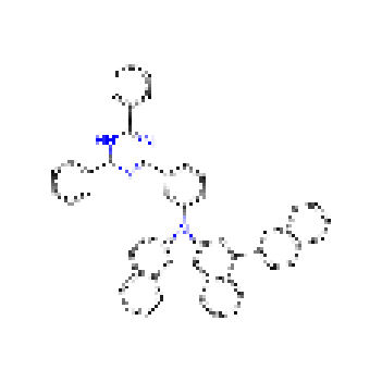 c1ccc(C2=NC(c3cccc(-n4c5ccc6ccccc6c5c5c6ccccc6c(-c6ccc7ccccc7c6)cc54)c3)=NC(c3ccccc3)N2)cc1